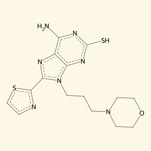 Nc1nc(S)nc2c1nc(-c1nccs1)n2CCCN1CCOCC1